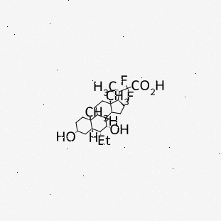 CC[C@H]1[C@@H](O)[C@H]2C3CC[C@H]([C@H](C)C(F)(F)C(=O)O)[C@@]3(C)CCC2[C@@]2(C)CC[C@@H](O)C[C@@H]12